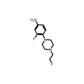 Nc1ccc(N2CCN(CCF)CC2)c(F)c1